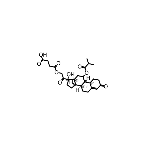 CC(C)C(=O)OC1C[C@@]2(C)[C@@H](CC[C@]2(O)C(=O)COC(=O)CCC(=O)O)[C@@H]2CCC3=CC(=O)CC[C@]3(C)[C@@H]12